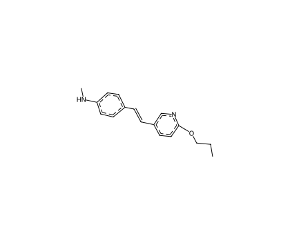 CCCOc1ccc(/C=C/c2ccc(NC)cc2)cn1